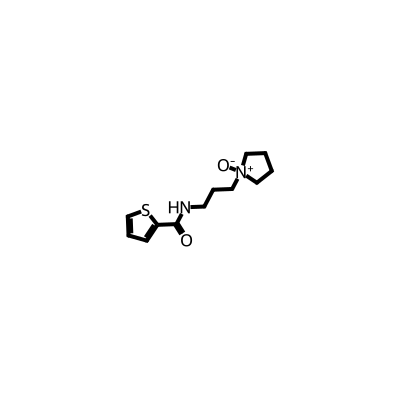 O=C(NCCC[N+]1([O-])CCCC1)c1cccs1